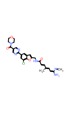 C=N\C(N)=C/C=C(C)/C=C/C(=O)NCc1cc2cc(-c3ncc(C(=O)N4CCOCC4)cn3)cc(Cl)c2o1